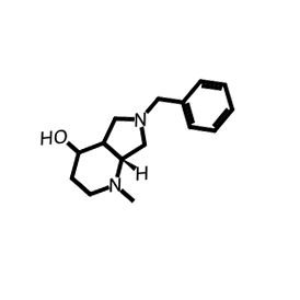 CN1CCC(O)C2CN(Cc3ccccc3)C[C@@H]21